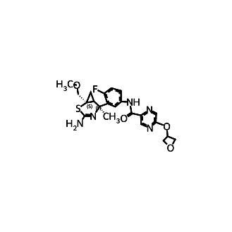 COC[C@]12CC1[C@@](C)(c1cc(NC(=O)c3cnc(OC4COC4)cn3)ccc1F)N=C(N)S2